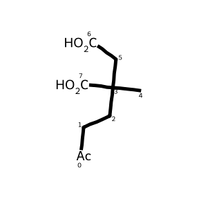 CC(=O)CCC(C)(CC(=O)O)C(=O)O